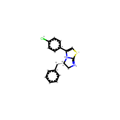 Clc1ccc(C2=CSC3=NC[C@H](Cc4ccccc4)N23)cc1